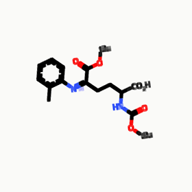 Cc1ccccc1/N=C(/CCC(NC(=O)OC(C)(C)C)C(=O)O)C(=O)OC(C)(C)C